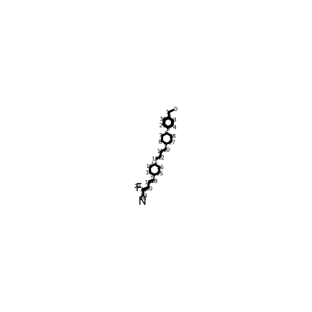 CCc1ccc([C@H]2CC[C@H](CCCC[C@H]3CC[C@H](/C=C/C=C(\F)C#N)CC3)CC2)cc1